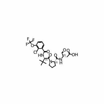 CC(C)(C)[C@H](NC(=O)c1cccc(OC(F)(F)F)c1Cl)C(=O)N1CCC[C@H]1C(=O)N[C@H](C=O)CC(=O)O